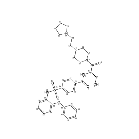 O=C(N[C@H](CO)C(=O)N1CCC(CCN2CCCC2)CC1)c1ccc(S(=O)(=O)Nc2ccccc2Oc2ccccc2)cc1